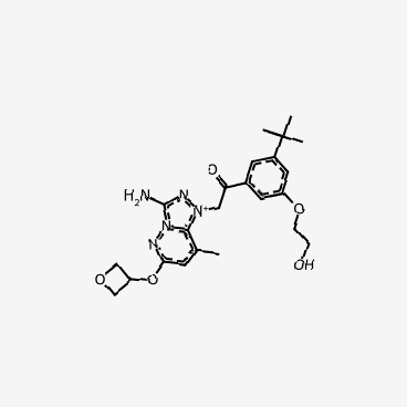 Cc1cc(OC2COC2)nn2c(N)n[n+](CC(=O)c3cc(OCCO)cc(C(C)(C)C)c3)c12